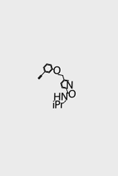 C#Cc1cccc(OCCc2ccc(C(=O)NCC(C)C)nc2)c1